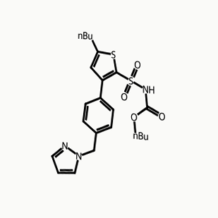 CCCCOC(=O)NS(=O)(=O)c1sc(CCCC)cc1-c1ccc(Cn2cccn2)cc1